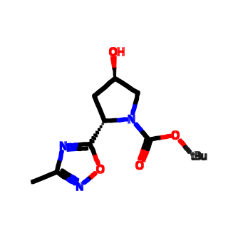 Cc1noc([C@@H]2C[C@@H](O)CN2C(=O)OC(C)(C)C)n1